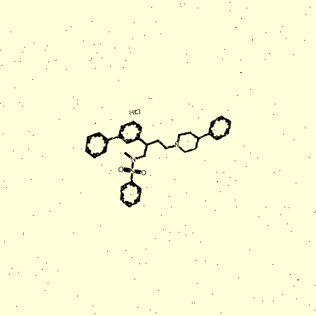 CN(CC(CCN1CCC(c2ccccc2)CC1)c1cccc(-c2ccccc2)c1)S(=O)(=O)c1ccccc1.Cl